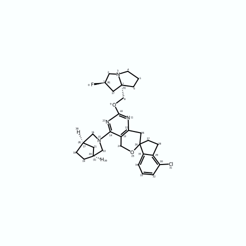 F[C@H]1CN2CCC[C@@]2(COc2nc3c(c(N4C[C@@H]5CC[C@@H](C5)C4)n2)COC2(CCc4c(Cl)cccc42)C3)C1